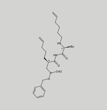 C=CCCCCN[C@H](C(=O)NC(=O)[C@H](CCCC=C)CN(C=O)OCc1ccccc1)C(C)(C)C